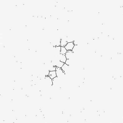 CC1CC(NC(=O)C(C)(C)COc2ncccc2C(F)(F)F)CN1